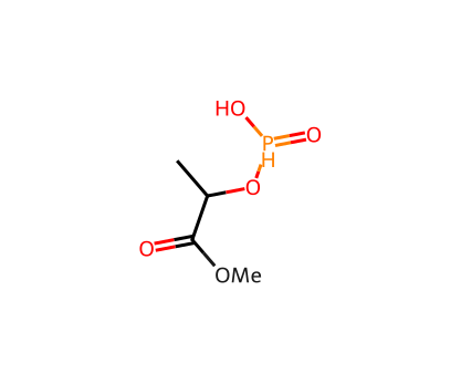 COC(=O)C(C)O[PH](=O)O